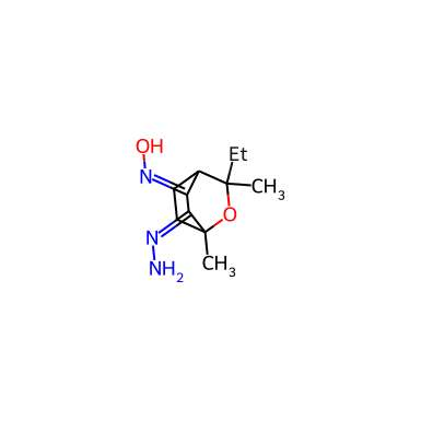 CCC1(C)OC2(C)CCC1C(=NO)C2=NN